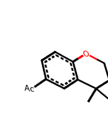 CC(=O)c1ccc2c(c1)C(C)(C)CCO2